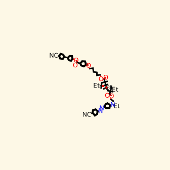 CCN(CCOC(=O)C(C)(CC(C)(CC)C(C)(C)C(C)(CC(C)(C)CC)C(=O)OCCCCCCOc1ccc(C(=O)Oc2ccc(-c3ccc(C#N)cc3)cc2)cc1)C(C)(C)CC)c1ccc(/N=N/c2ccc(C#N)cc2)cc1